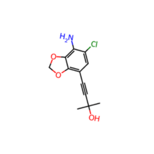 CC(C)(O)C#Cc1cc(Cl)c(N)c2c1OCO2